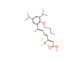 CCCCOc1c(C(C)=CC=CC(=CC(=O)OC)C(F)(F)F)cc(C(C)C)cc1C(C)C